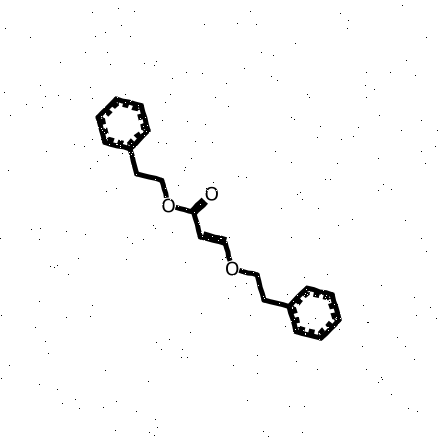 O=C(C=COCCc1ccccc1)OCCc1ccccc1